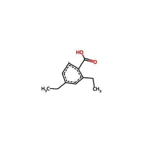 CCc1c[c]c(C(=O)O)c(CC)c1